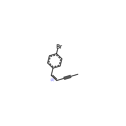 CC#C/C=C\c1ccc(Br)cc1